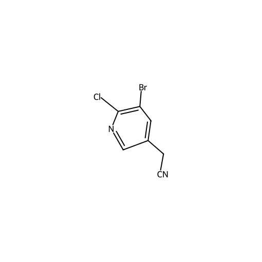 N#CCc1cnc(Cl)c(Br)c1